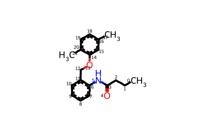 CCCC(=O)Nc1ccccc1COc1cc(C)ccc1C